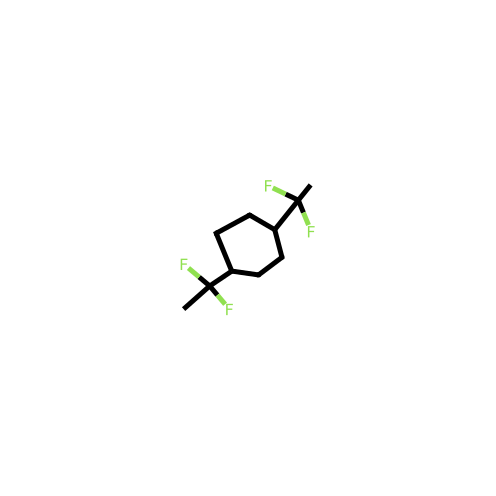 CC(F)(F)C1CCC(C(C)(F)F)CC1